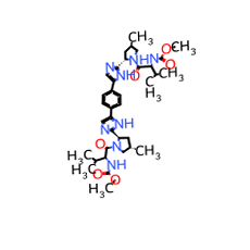 COC(=O)N[C@H](C(=O)N1C[C@@H](C)C[C@@H]1c1ncc(-c2ccc(-c3cnc([C@@H]4C[C@@H](C)CN4C(=O)[C@@H](NC(=O)OC)C(C)C)[nH]3)cc2)[nH]1)C(C)C